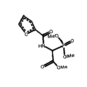 COC(=O)C(NC(=O)c1ccco1)P(=O)(OC)OC